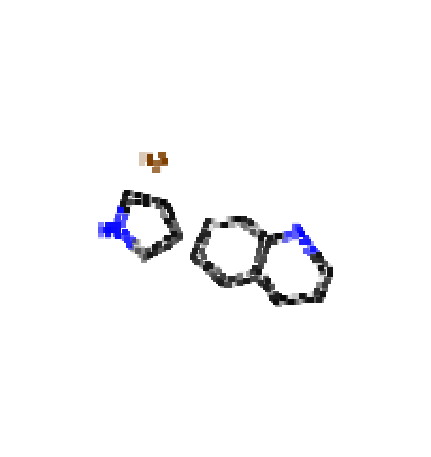 S.c1cc[nH]c1.c1ccc2ncccc2c1